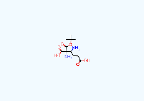 CC(C)(C)OC(=O)C(N)(C(=O)O)C(N)CCC(=O)O